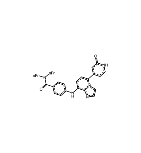 CCCN(CCC)C(=O)c1ccc(Nc2ccc(-c3cc[nH]c(=O)c3)n3ccnc23)cc1